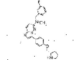 CN(Cc1cccc(F)c1)c1ccc2ncc(-c3ccc(OC[C@@H]4CCCN4)cc3)n2n1